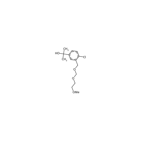 COCCOCOCc1cc(C(C)(C)O)ccc1Cl